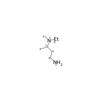 CCN(C)C(C)CCN